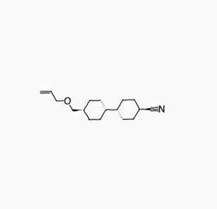 C=CCOC[C@H]1CC[C@H]([C@H]2CC[C@H](C#N)CC2)CC1